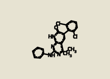 CC.O=c1[nH]c2nc(Nc3ccccc3)ncc2cc1-c1c(Cl)cccc1Cl